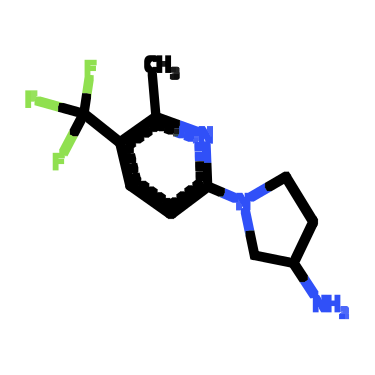 Cc1nc(N2CCC(N)C2)ccc1C(F)(F)F